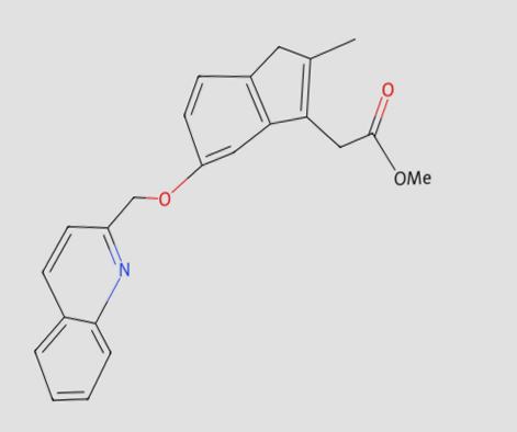 COC(=O)CC1=C(C)Cc2ccc(OCc3ccc4ccccc4n3)cc21